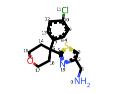 NCc1csc(C2(c3ccc(Cl)cc3)CCOCC2)n1